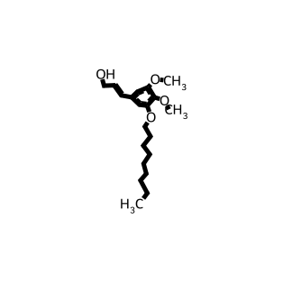 CCCCCCCCCOc1cc(/C=C/CO)cc(OC)c1OC